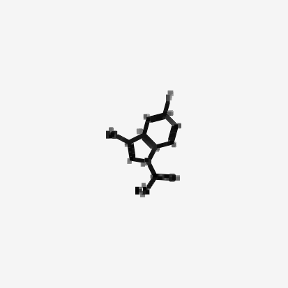 N#Cc1cn(C(N)=O)c2ccc(F)cc12